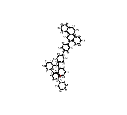 c1ccc(-c2ccc(-c3ccccc3N(c3ccccc3)c3ccc(-c4ccc(-c5cc6c7ccccc7ccc6c6ccccc56)cc4)cc3)cc2)cc1